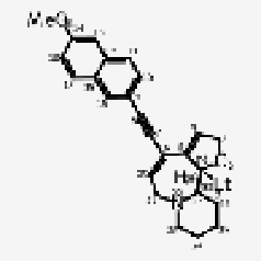 CC[C@]12OCC=C1C(C#Cc1ccc3cc(OC)ccc3c1)=CCN1CCCC[C@@H]12